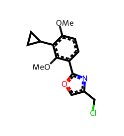 COc1ccc(-c2nc(CCl)co2)c(OC)c1C1CC1